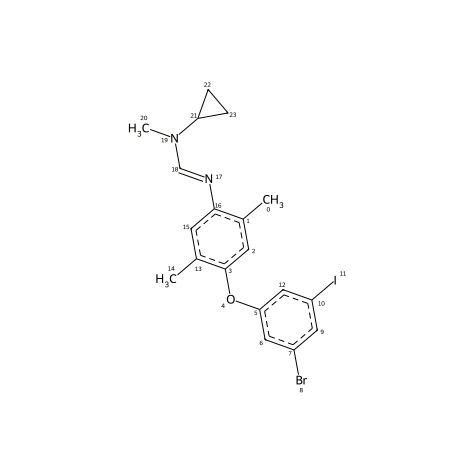 Cc1cc(Oc2cc(Br)cc(I)c2)c(C)cc1N=CN(C)C1CC1